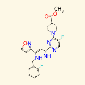 COC(=O)C1CCN(c2nc(C(=N)/C=C(\NCc3ccccc3F)c3ccon3)ncc2F)CC1